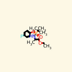 CCOC(=O)[C@H](C)N[P@](=O)(Oc1ccc(F)cc1)C(C)(C)C